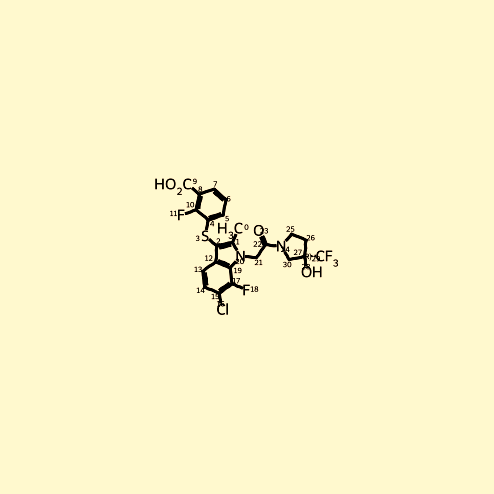 Cc1c(Sc2cccc(C(=O)O)c2F)c2ccc(Cl)c(F)c2n1CC(=O)N1CC[C@](O)(C(F)(F)F)C1